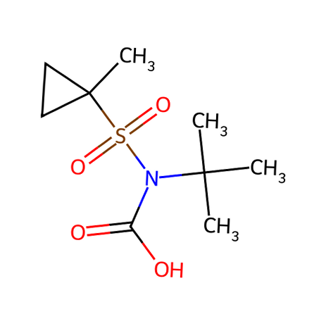 CC(C)(C)N(C(=O)O)S(=O)(=O)C1(C)CC1